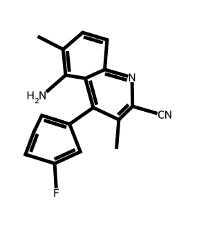 Cc1ccc2nc(C#N)c(C)c(-c3cccc(F)c3)c2c1N